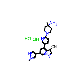 Cl.Cl.Cn1cc(-c2cc(-c3ccc(N4CCC(C)(N)CC4)nc3)c3c(C#N)cnn3c2)cn1